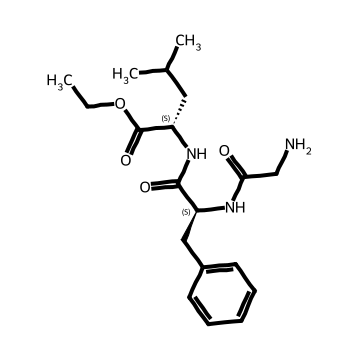 CCOC(=O)[C@H](CC(C)C)NC(=O)[C@H](Cc1ccccc1)NC(=O)CN